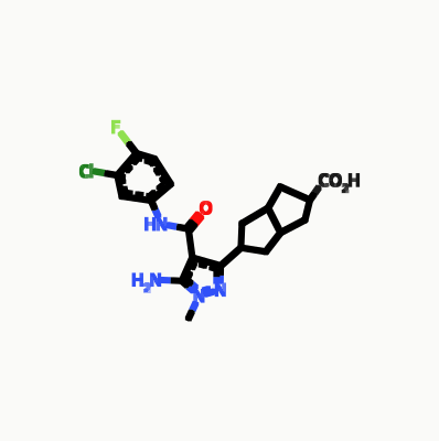 Cn1nc(C2CC3CC(C(=O)O)CC3C2)c(C(=O)Nc2ccc(F)c(Cl)c2)c1N